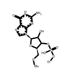 CCOP(=O)(O)OC1C(O)[C@H](n2cnc3c(=O)[nH]c(N)nc32)O[C@@H]1COC(C)(C)C